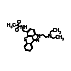 CCN(CC)CCn1nc2c3c(c(CNS(C)(=O)=O)ccc31)Sc1ccccc1-2